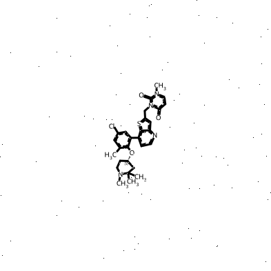 Cc1cc(Cl)cc(-c2ccnc3cc(Cn4c(=O)ccn(C)c4=O)sc23)c1O[C@H]1CCN(C)C(C)(C)C1